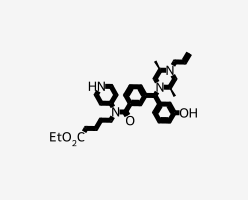 C=CCN1C[C@@H](C)N(C(c2cccc(O)c2)c2cccc(C(=O)N(CCCCC(=O)OCC)C3CCNCC3)c2)C[C@H]1C